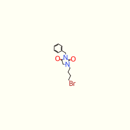 O=C1CN(CCCCBr)C(=O)N1Cc1ccccc1